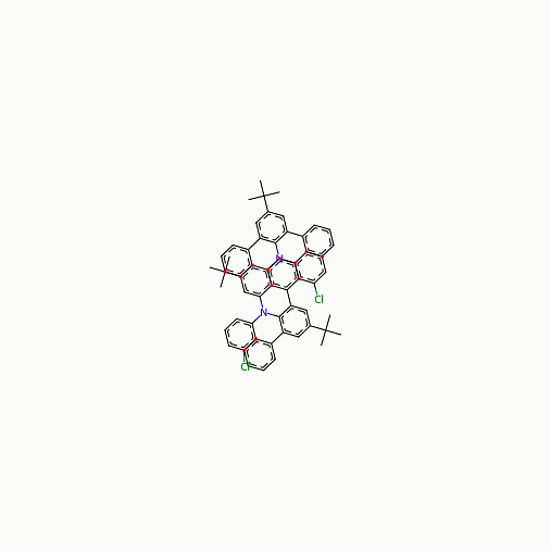 CC(C)(C)c1cc(N(c2cccc(Cl)c2)c2c(-c3ccccc3)cc(C(C)(C)C)cc2-c2ccccc2)cc(N(c2cccc(Cl)c2)c2c(-c3ccccc3)cc(C(C)(C)C)cc2-c2ccccc2)c1